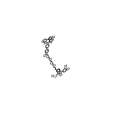 Cn1c(=O)n(C2CCC(=O)NC2)c2ccc(CCCOCCOCCOCCOCC(=O)N3CCN([C@H]4CC[C@H](Nc5ncnc6[nH]cc(C7CCOCC7)c56)CC4)CC3)cc21